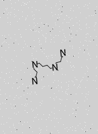 CN(CCC#N)CCCCN(C)CCC#N